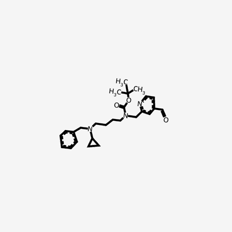 CC(C)(C)OC(=O)N(CCCCN(Cc1ccccc1)C1CC1)Cc1cc(C=O)ccn1